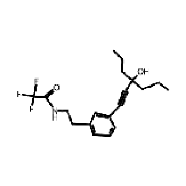 CCCC(O)(C#Cc1cccc(CCNC(=O)C(F)(F)F)c1)CCC